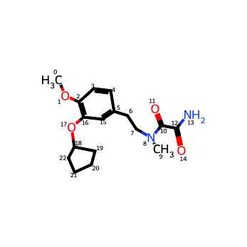 COc1ccc(CCN(C)C(=O)C(N)=O)cc1OC1CCCC1